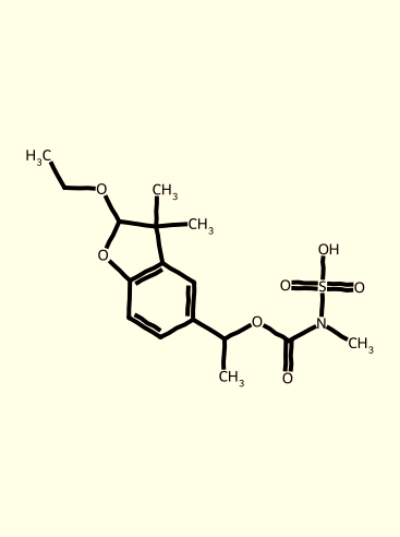 CCOC1Oc2ccc(C(C)OC(=O)N(C)S(=O)(=O)O)cc2C1(C)C